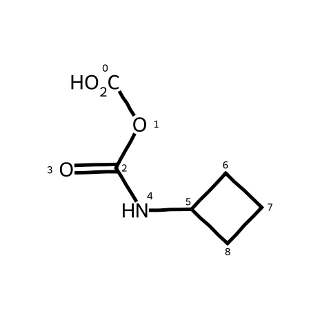 O=C(O)OC(=O)NC1CCC1